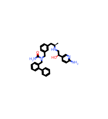 C[C@H](Cc1cccc(CN(Cc2ccccc2-c2ccccc2)C(N)=O)c1)NC[C@H](O)c1ccc(N)nc1